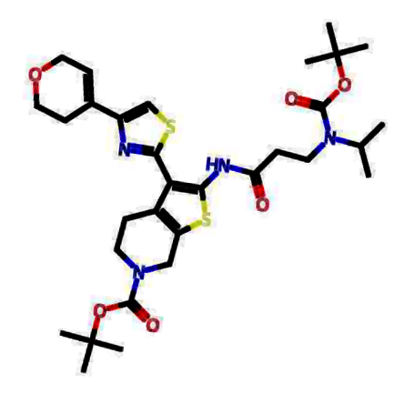 CC(C)N(CCC(=O)Nc1sc2c(c1-c1nc(C3=CCOCC3)cs1)CCN(C(=O)OC(C)(C)C)C2)C(=O)OC(C)(C)C